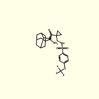 NC(=O)C12CC3CC(C1)C(NC(=O)C1(CNS(=O)(=O)c4ccc(OC(F)(F)F)cc4)CC1)C(C3)C2